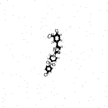 O=S(=O)(c1ccc(Cl)cc1)C1CCN(c2nc(-c3ccc(Cl)c(Cl)c3)cs2)CC1